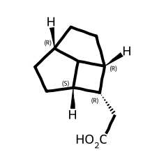 O=C(O)C[C@@H]1[C@@H]2CC[C@@H]3CC[C@H]1C32